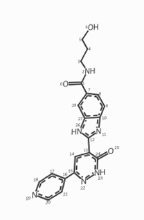 O=C(NCCCO)c1ccc2nc(-c3cc(-c4ccncc4)n[nH]c3=O)[nH]c2c1